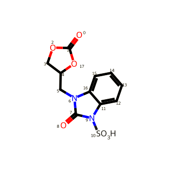 O=C1OCC(Cn2c(=O)n(S(=O)(=O)O)c3ccccc32)O1